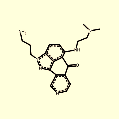 CN(C)CCNc1ccc2c3c(nn2CCCN)-c2cnccc2C(=O)c13